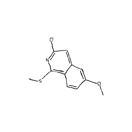 COc1ccc2c(SC)nc(Cl)cc2c1